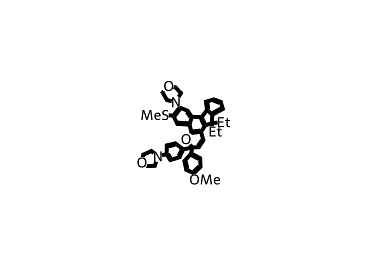 CCC1(CC)c2ccccc2-c2c1c1c(c3cc(SC)c(N4CCOCC4)cc23)OC(c2ccc(OC)cc2)(c2ccc(N3CCOCC3)cc2)C=C1